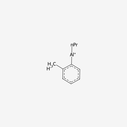 CC[CH2][Al+][c]1ccccc1C.[H-]